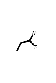 CCC([N])F